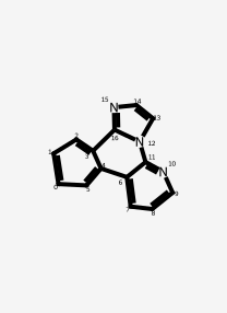 c1ccc2c(c1)c1cccnc1n1ccnc21